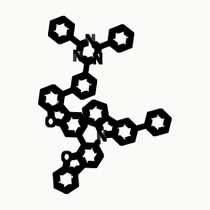 c1ccc(-c2ccc3c(c2)c2ccccc2n3-c2ccc3c(oc4ccccc43)c2-c2ccc3c(c2)oc2cccc(-c4cccc(-c5nc(-c6ccccc6)nc(-c6ccccc6)n5)c4)c23)cc1